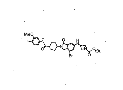 COc1cc(NC(=O)C2CCC(N3Cc4c(Br)cc(NC5CN(C(=O)OC(C)(C)C)C5)cc4C3=O)CC2)ccc1C